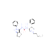 O=C(Nc1c2c(nn1-c1ccccc1)CCC2)N[C@@H]1CN(CCCC(F)(F)F)C[C@H]1c1ccccc1